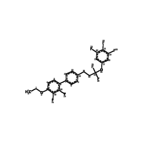 CCOc1ccc(-c2ccc(CCC(F)(F)Oc3cc(F)c(F)c(F)c3)cc2)c(F)c1F